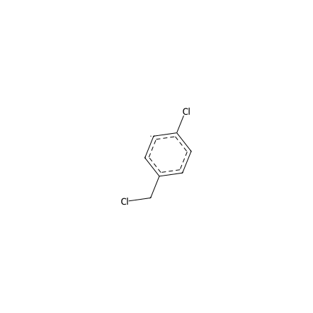 ClCc1c[c]c(Cl)cc1